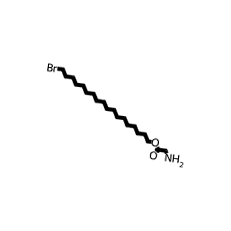 NCC(=O)OCCCCCCCCCCCCCCCCCCBr